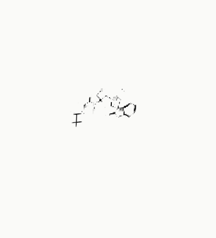 CCN(C(=O)[C@H](C)NC(=O)C(F)(F)C(F)(F)F)[C@](C=O)(CC(C)C)CN1C[C@]2(C[C@H]1C#N)C(=O)Nc1ccccc12